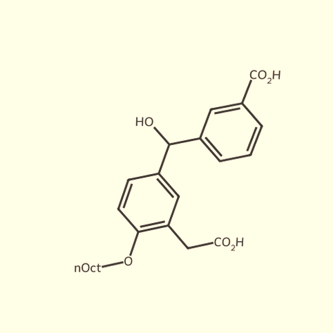 CCCCCCCCOc1ccc(C(O)c2cccc(C(=O)O)c2)cc1CC(=O)O